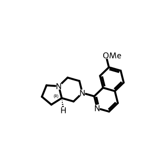 COc1ccc2ccnc(N3CCN4CCC[C@@H]4C3)c2c1